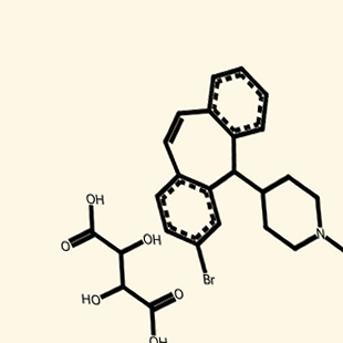 CN1CCC(C2c3ccccc3C=Cc3ccc(Br)cc32)CC1.O=C(O)C(O)C(O)C(=O)O